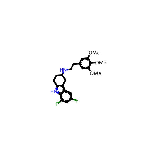 COc1cc(CCNC2CCc3[nH]c4c(F)cc(F)cc4c3C2)cc(OC)c1OC